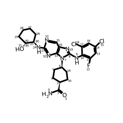 NC(=O)[C@H]1CC[C@@H](n2c(Nc3c(F)cc(Cl)cc3Cl)nc3cnc(N[C@@H]4CCCC[C@H]4O)nc32)CC1